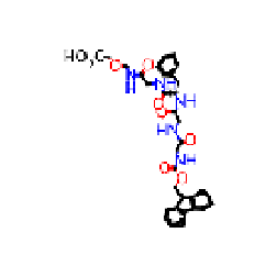 O=C(O)COCNC(=O)CNC(=O)[C@H](Cc1ccccc1)NC(=O)CNC(=O)CNC(=O)OCC1c2ccccc2-c2ccccc21